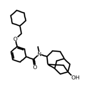 CN(C(=O)C1C=C(OCC2CCCCC2)C=CC1)C1CCC2CC3CC(O)(C2)CC31